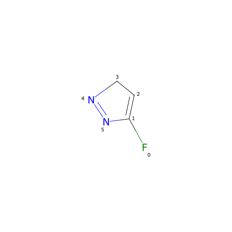 FC1=CCN=N1